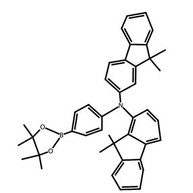 CC1(C)c2ccccc2-c2ccc(N(c3ccc(B4OC(C)(C)C(C)(C)O4)cc3)c3cccc4c3C(C)(C)c3ccccc3-4)cc21